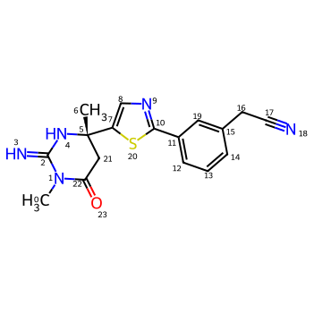 CN1C(=N)N[C@](C)(c2cnc(-c3cccc(CC#N)c3)s2)CC1=O